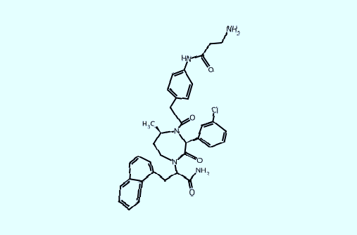 C[C@@H]1CCN(C(Cc2cccc3ccccc23)C(N)=O)C(=O)[C@H](c2cccc(Cl)c2)N1C(=O)Cc1ccc(NC(=O)CCN)cc1